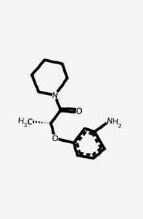 C[C@@H](Oc1cccc(N)c1)C(=O)N1CCCCC1